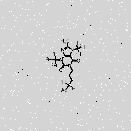 [2H]C([2H])(CCCn1c(=O)c2c(nc(C)n2C([2H])([2H])[2H])n(C([2H])([2H])[2H])c1=O)C(C)=O